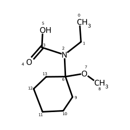 CCN(C(=O)O)C1(OC)CCCCC1